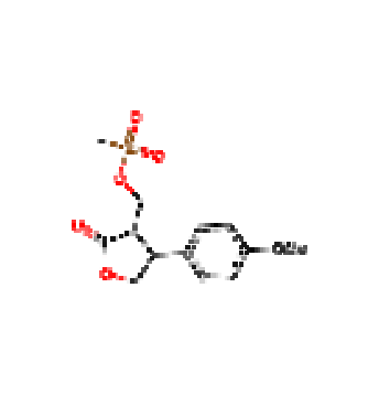 COc1ccc(C2COC(=O)C2COS(C)(=O)=O)cc1